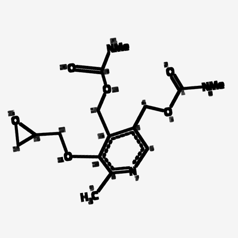 CNC(=O)OCc1cnc(C)c(OCC2CO2)c1COC(=O)NC